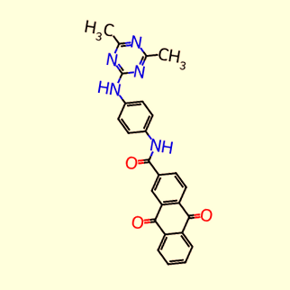 Cc1nc(C)nc(Nc2ccc(NC(=O)c3ccc4c(c3)C(=O)c3ccccc3C4=O)cc2)n1